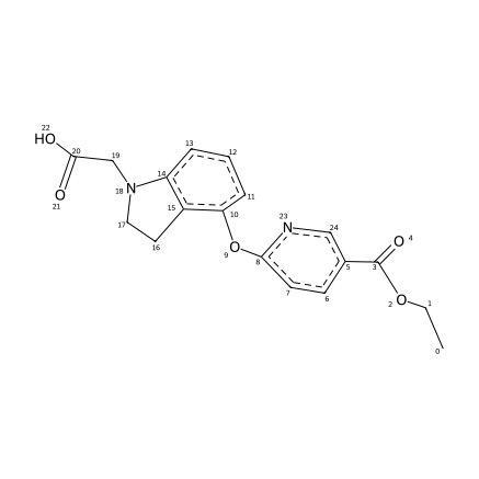 CCOC(=O)c1ccc(Oc2cccc3c2CCN3CC(=O)O)nc1